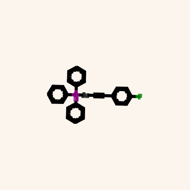 Fc1ccc(C#[C][Au][PH](c2ccccc2)(c2ccccc2)c2ccccc2)cc1